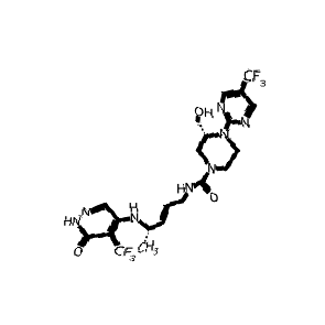 C[C@@H](/C=C/CNC(=O)N1CCN(c2ncc(C(F)(F)F)cn2)[C@@H](CO)C1)Nc1cn[nH]c(=O)c1C(F)(F)F